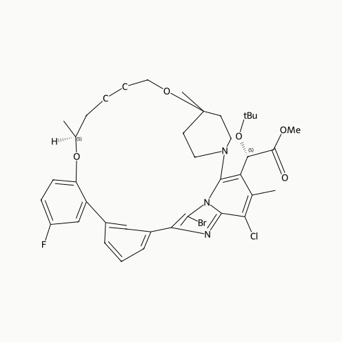 COC(=O)[C@@H](OC(C)(C)C)c1c(C)c(Cl)c2nc3c(Br)n2c1N1CCC(C)(CC1)OCCCC[C@H](C)Oc1ccc(F)cc1-c1cccc-3c1